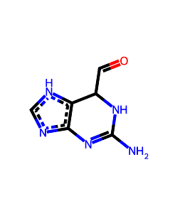 NC1=Nc2nc[nH]c2C(C=O)N1